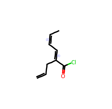 C=CC/C(=C\C=C/C)C(=O)Cl